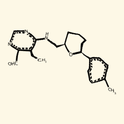 Cc1ccc([C@@H]2CCC[C@H](CNc3ncnc(C=O)c3C)O2)cc1